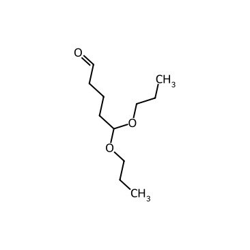 CCCOC(CCCC=O)OCCC